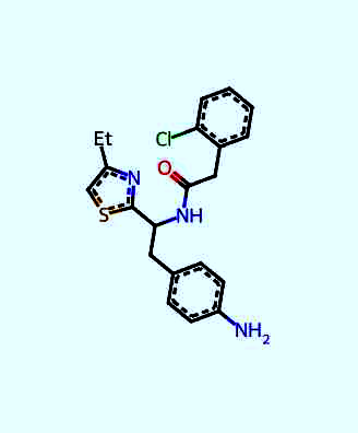 CCc1csc(C(Cc2ccc(N)cc2)NC(=O)Cc2ccccc2Cl)n1